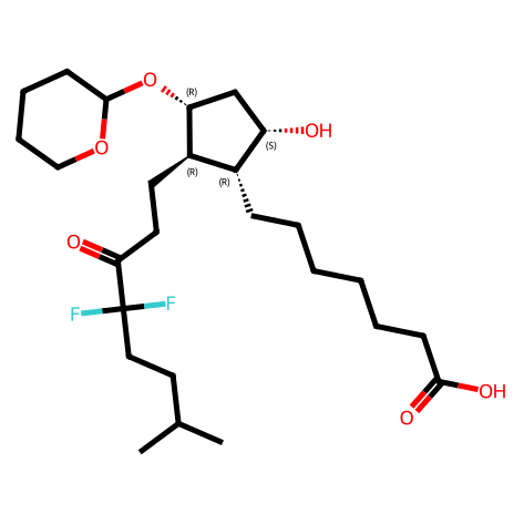 CC(C)CCC(F)(F)C(=O)CC[C@@H]1[C@@H](CCCCCCC(=O)O)[C@@H](O)C[C@H]1OC1CCCCO1